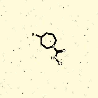 CCNC(=O)N1CCCC(CC)CC1